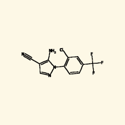 N#Cc1cnn(-c2ccc(C(F)(F)F)cc2Cl)c1N